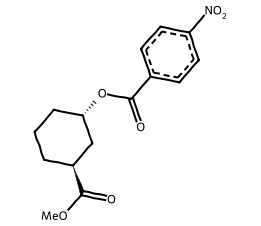 COC(=O)[C@H]1CCC[C@H](OC(=O)c2ccc([N+](=O)[O-])cc2)C1